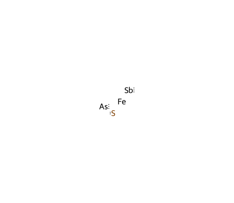 [As].[Fe].[S].[Sb]